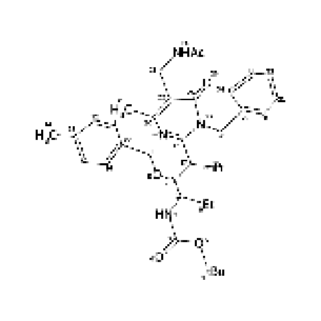 CCC(NC(=O)OC(C)(C)C)N(OCc1ccc(C)cc1)C(c1nc(C)c(CNC(C)=O)c(=O)n1Cc1ccccc1)C(C)C